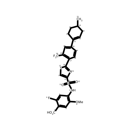 COc1cc(C(=O)O)c(F)cc1NS(=O)(=O)c1csc(-c2ccc(C3=CCC(C)CC3)cc2C(F)(F)F)n1